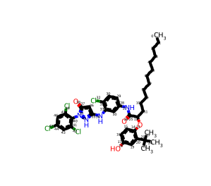 CCCCCCCCCCCCC(Oc1ccc(O)cc1C(C)(C)C)C(=O)Nc1ccc(Cl)c(Nc2cc(=O)n(-c3c(Cl)cc(Cl)cc3Cl)[nH]2)c1